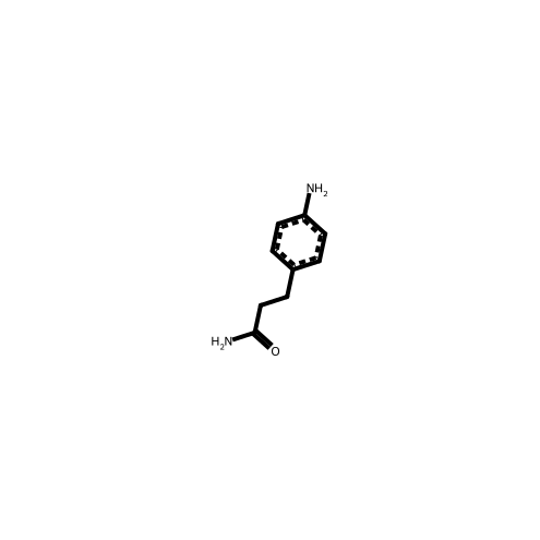 NC(=O)CCc1ccc(N)cc1